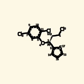 ClCC[C@@H](Oc1cc(Cl)ccc1Cl)c1cccs1